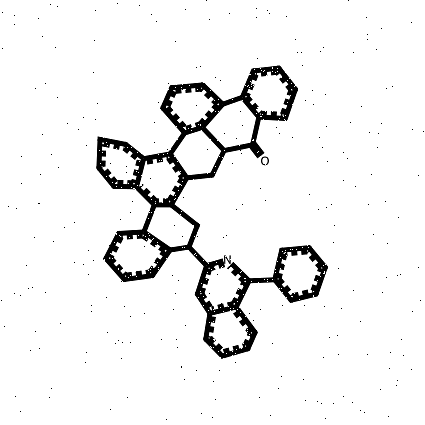 O=C1c2ccccc2-c2cccc3c2C1Cc1c2c(c4ccccc4c1-3)-c1ccccc1C(c1cc3ccccc3c(-c3ccccc3)n1)C2